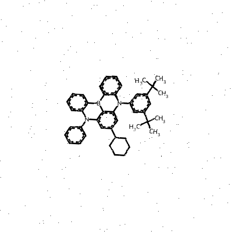 CC(C)(C)c1cc(N2c3ccccc3B3c4ccccc4N(c4ccccc4)c4cc(C5CCCCC5)cc2c43)cc(C(C)(C)C)c1